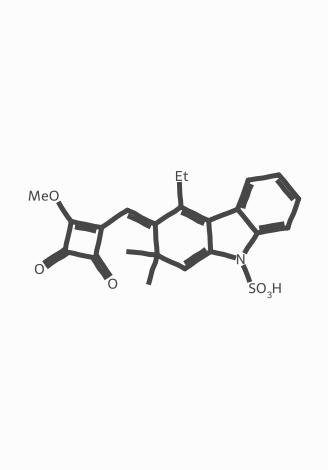 CCC1=c2c(n(S(=O)(=O)O)c3ccccc23)=CC(C)(C)C1=Cc1c(OC)c(=O)c1=O